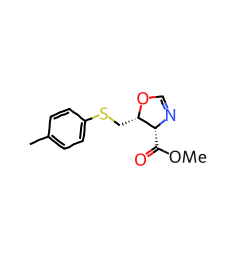 COC(=O)[C@H]1N=CO[C@H]1CSc1ccc(C)cc1